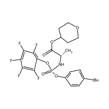 C[C@H](NP(=O)(Oc1ccc(C(C)(C)C)cc1)Oc1c(F)c(F)c(F)c(F)c1F)C(=O)OC1CCOCC1